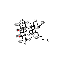 CCCCCCC(CC(O)CO)(CC(O)CO)C(CC(O)CO)(CC(O)CO)C(CC(O)CO)(CC(O)CO)C(CC(O)CO)(CC(O)CO)C(CC(O)CO)(CC(O)CO)C(=O)O